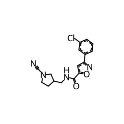 N#CN1CCC(CNC(=O)c2cc(-c3cccc(Cl)c3)no2)C1